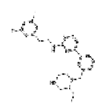 CCC1CNCCN1Cc1cccc(-c2ccnc(NCCc3cc(F)cc(F)c3)n2)c1